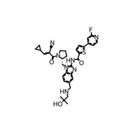 CC(C)(O)CNCc1ccc2c(c1)nc(NC(=O)c1ccc(-c3ccnc(F)c3)s1)n2C[C@H]1CCCN1C(=O)C(C#N)=CC1CC1